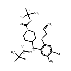 C=CCOc1cc(Cl)c(C)cc1[C@H](N[S@@+]([O-])C(C)(C)C)C1CCN(C(=O)OC(C)(C)C)CC1